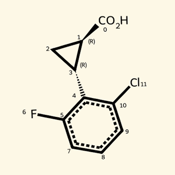 O=C(O)[C@@H]1C[C@H]1c1c(F)cccc1Cl